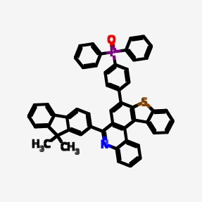 CC1(C)c2ccccc2-c2ccc(-c3nc4ccccc4c4c3cc(-c3ccc(P(=O)(c5ccccc5)c5ccccc5)cc3)c3sc5ccccc5c34)cc21